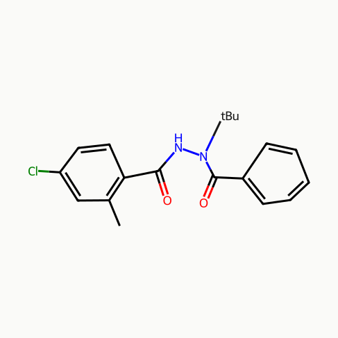 Cc1cc(Cl)ccc1C(=O)NN(C(=O)c1ccccc1)C(C)(C)C